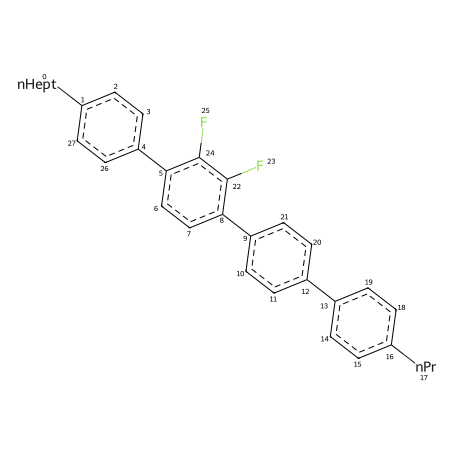 CCCCCCCc1ccc(-c2ccc(-c3ccc(-c4ccc(CCC)cc4)cc3)c(F)c2F)cc1